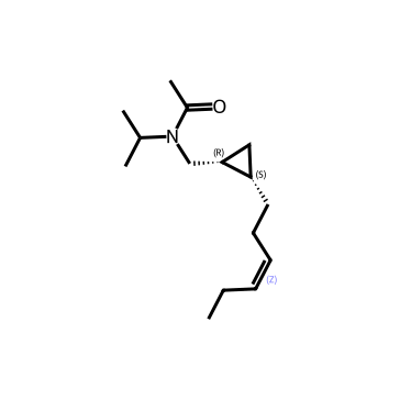 CC/C=C\CC[C@H]1C[C@H]1CN(C(C)=O)C(C)C